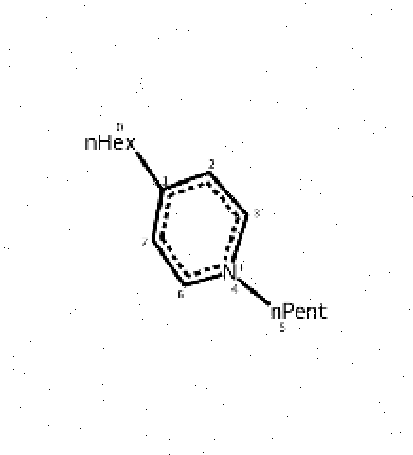 CCCCCCc1cc[n+](CCCCC)cc1